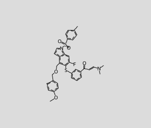 COc1ccc(COCc2c(Sc3cccc(C(=O)/C=C/N(C)C)c3)c(F)cc3c2ccn3S(=O)(=O)c2ccc(C)cc2)cc1